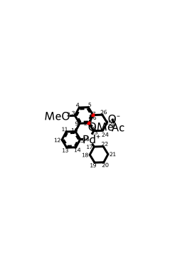 CC(=O)[O-].COc1cccc(OC)c1-c1cccc[c]1[Pd+]([CH]1CCCCC1)[CH]1CCCCC1